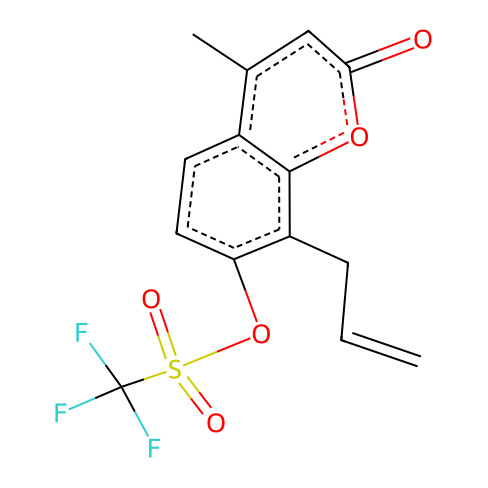 C=CCc1c(OS(=O)(=O)C(F)(F)F)ccc2c(C)cc(=O)oc12